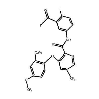 COc1cc(OC(F)(F)F)ccc1Oc1cc(C(F)(F)F)cnc1C(=O)Nc1ccc(F)c(C(=O)I)c1